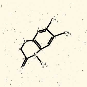 Cc1cc2c(nc1C)OCC(=O)N2C